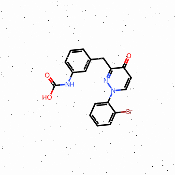 O=C(O)Nc1cccc(Cc2nn(-c3ccccc3Br)ccc2=O)c1